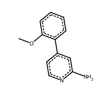 COc1ccccc1-c1ccnc(N)c1